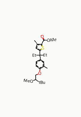 CCC(CC)(c1ccc(OCC(OC)C(C)(C)C)c(C)c1)c1cc(C)c(C(=O)OC)s1